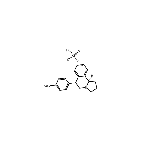 CSc1ccc([C@@H]2CN3CCC[C@@H]3c3ccccc32)cc1.[O-][Cl+3]([O-])([O-])O